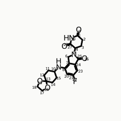 O=C1CCC(N2Cc3c(NC4CCC5(CC4)OCCO5)cc(F)cc3C2=O)C(=O)N1